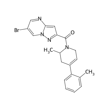 Cc1ccccc1C1=CCN(C(=O)c2cc3ncc(Br)cn3n2)C(C)C1